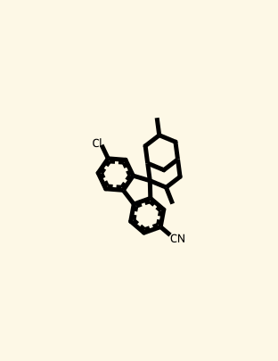 CC1CC2CC(C)C3(c4cc(Cl)ccc4-c4ccc(C#N)cc43)C(C1)C2